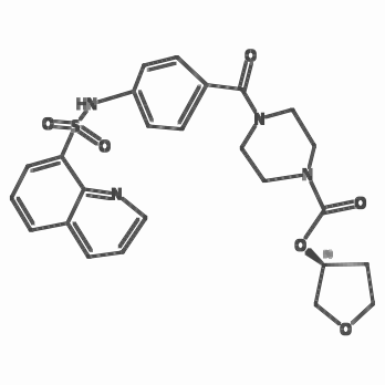 O=C(O[C@H]1CCOC1)N1CCN(C(=O)c2ccc(NS(=O)(=O)c3cccc4cccnc34)cc2)CC1